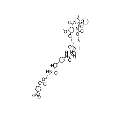 C=CCOC(=O)N1c2cc(OCCCC(=O)Nc3cn(C)c(C(=O)Nc4ccc(-c5cc(C(=O)NCCCOC(=O)Oc6ccc([N+](=O)[O-])cc6)n(C)c5)cc4)n3)c(OC)cc2C(=O)N2CC(=C)C[C@H]2C1OC1CCCCO1